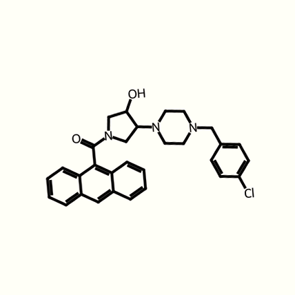 O=C(c1c2ccccc2cc2ccccc12)N1CC(O)C(N2CCN(Cc3ccc(Cl)cc3)CC2)C1